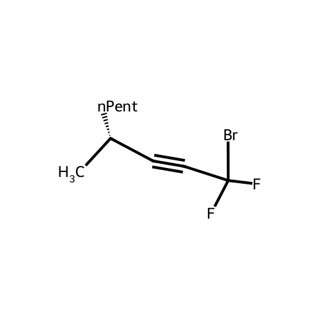 CCCCC[C@@H](C)C#CC(F)(F)Br